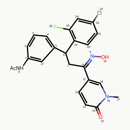 CC(=O)Nc1cccc(C(CC(=NO)c2ccc(=O)n(C)c2)c2ccc(Cl)cc2F)c1